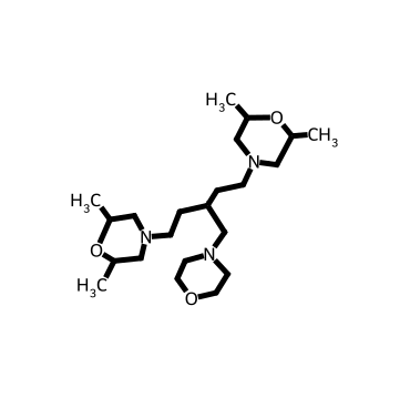 CC1CN(CC[C](CCN2CC(C)OC(C)C2)CN2CCOCC2)CC(C)O1